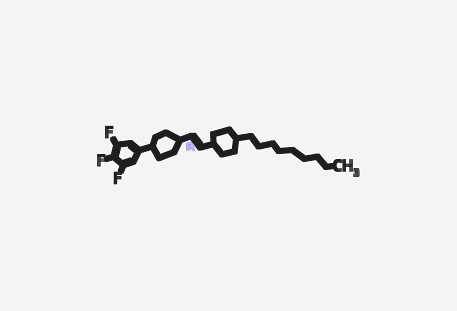 CCCCCCCCCC1CCC(/C=C/C2CCC(c3cc(F)c(F)c(F)c3)CC2)CC1